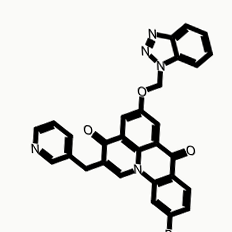 O=c1c(Cc2cccnc2)cn2c3cc(Br)ccc3c(=O)c3cc(OCn4nnc5ccccc54)cc1c32